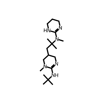 CN1CC(CC(C)(C)N(C)C2=NCCCN2)CN=C1NC(C)(C)C